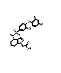 Cc1cc(F)ccc1Oc1ccc(S(=O)(=O)N(C)[C@@H]2CCCc3c2cnn3CC(=O)O)cc1Cl